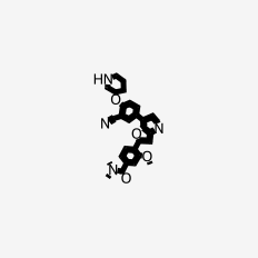 COc1cc(C(=O)N(C)C)ccc1-c1cc2nccc(-c3ccc(O[C@H]4CCCNC4)c(C#N)c3)c2o1